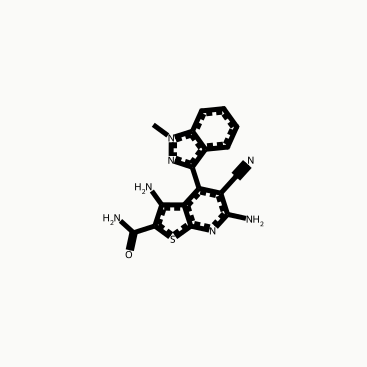 Cn1nc(-c2c(C#N)c(N)nc3sc(C(N)=O)c(N)c23)c2ccccc21